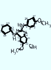 COc1ccc(Nc2nc(Nc3ccccc3)c3cc(OC)ccc3n2)cc1.Cl